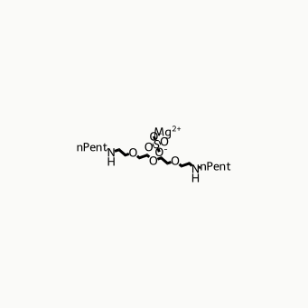 CCCCCNCCOCCOCCOCCNCCCCC.O=S(=O)([O-])[O-].[Mg+2]